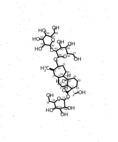 C=C1CC2CC[C@@H]3[C@](CO)(C(=O)OC4OC(CO)C(O)C(O)C4O)CCC[C@@]3(C)[C@@H]2CCC1OC1OC(CO)C(O)C(O)C1OC1OC(CO)C(O)C(O)C1O